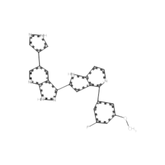 COc1cc(F)cc(-c2nccc3[nH]c(-c4n[nH]c5ncc(-c6cn[nH]c6)cc45)cc23)c1